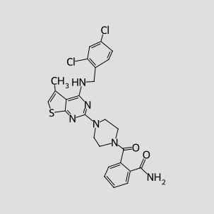 Cc1csc2nc(N3CCN(C(=O)c4ccccc4C(N)=O)CC3)nc(NCc3ccc(Cl)cc3Cl)c12